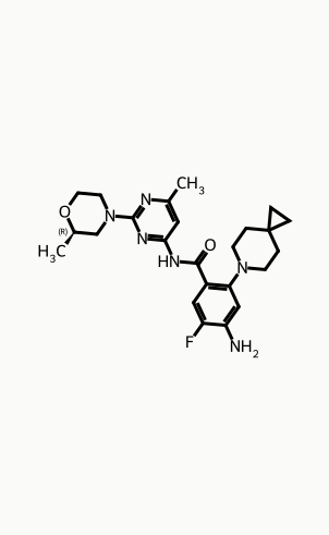 Cc1cc(NC(=O)c2cc(F)c(N)cc2N2CCC3(CC2)CC3)nc(N2CCO[C@H](C)C2)n1